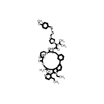 CCc1ccncc1-c1c2c3cc(ccc3n1CC)-c1cccc(c1)C[C@H](NC(=O)[C@H](C(C)C)N1CC[C@@H](CN=C=Nc3ccc(OC)cc3)C1)C(=O)N1CCC[C@H](N1)C(=O)OCC(C)(C)C2